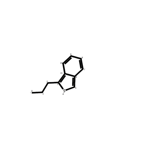 [CH2]CCc1scc2ccccc12